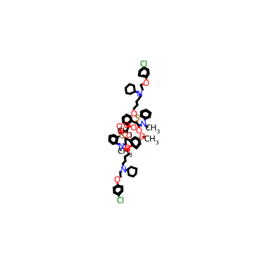 COc1ccc(OCCCCN(CCOc2ccc(Cl)cc2)C2CCCCC2)c(C2(OC(=O)C(=O)OC3(c4cc(OC)ccc4OCCCCN(CCOc4ccc(Cl)cc4)C4CCCCC4)Sc4ccccc4N(C)C3=O)Sc3ccccc3N(C)C2=O)c1